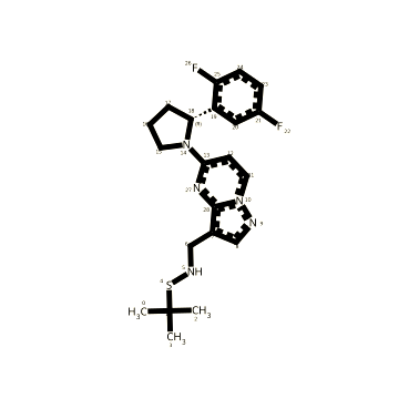 CC(C)(C)SNCc1cnn2ccc(N3CCC[C@@H]3c3cc(F)ccc3F)nc12